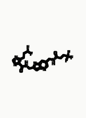 O=C(CCC(F)(F)F)NCc1cnn2cc(CNC(=O)c3ncnn3CCC(F)F)nc2c1